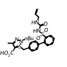 C=CCNC(=O)NS(=O)(=O)c1ccccc1-c1ccc(CS2=C(C(=O)O)C(C)=NN2CCCC)cc1